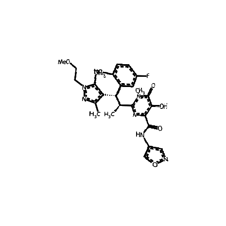 COCCn1nc(C)c([C@H](c2cc(F)ccc2C#N)[C@H](C)c2nc(C(=O)Nc3cnoc3)c(O)c(=O)n2C)c1C